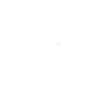 CC1=C(c2ccccc2)CCC(Oc2ccc(F)cc2)O1